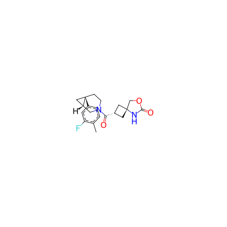 Cc1ccc([C@@]23CCN(C(=O)[C@H]4C[C@]5(COC(=O)N5)C4)C[C@@H]2C3)cc1F